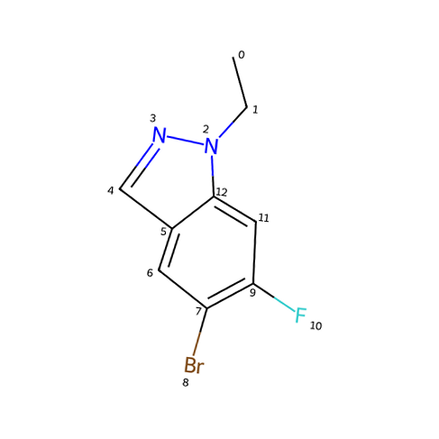 CCn1ncc2cc(Br)c(F)cc21